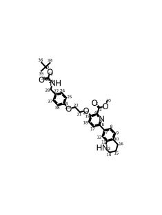 COC(=O)c1nc(-c2ccc3c(c2)NCCC3)ccc1OCCOc1ccc(CNC(=O)OC(C)(C)C)cc1